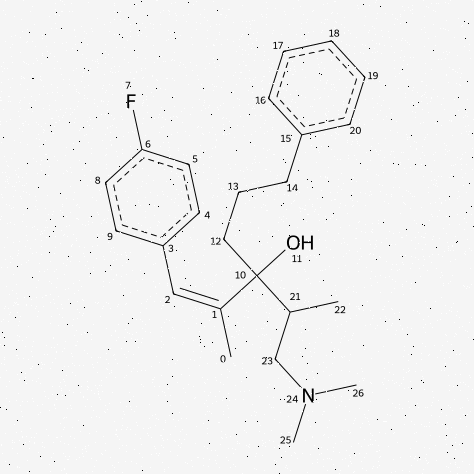 C/C(=C/c1ccc(F)cc1)C(O)(CCCc1ccccc1)C(C)CN(C)C